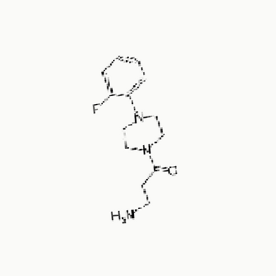 NCCC(=O)N1CCN(c2ccccc2F)CC1